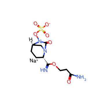 N=C(OCCC(N)=O)[C@@H]1CC[C@@H]2CN1C(=O)N2OS(=O)(=O)[O-].[Na+]